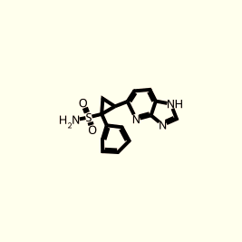 NS(=O)(=O)C1(c2ccccc2)CC1c1ccc2[nH]cnc2n1